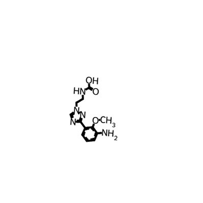 COc1c(N)cccc1-c1ncn(CCNC(=O)O)n1